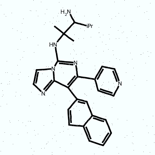 CC(C)C(N)C(C)(C)Nc1nc(-c2ccncc2)c(-c2ccc3ccccc3c2)c2nccn12